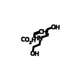 C=CC(=O)O.OCCNCCO